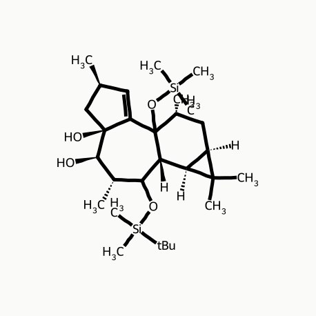 C[C@@H]1C[C@@H]2[C@H]([C@@H]3C(O[Si](C)(C)C(C)(C)C)[C@H](C)[C@@H](O)[C@]4(O)C[C@@H](C)C=C4C13O[Si](C)(C)C)C2(C)C